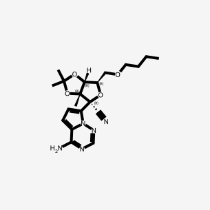 CCCCOC[C@H]1O[C@@](C#N)(c2ccc3c(N)ncnn23)[C@]2(C)OC(C)(C)O[C@H]12